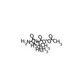 CC(=O)OCOC(=O)[C@@H]1N2C(=O)C(N)[C@H]2SC1(C)C.Cl